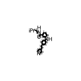 CC(C)CCNC(=O)c1cccc(Nc2ccc(/C=C/c3ccncc3)cc2)c1